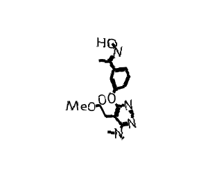 COC(=O)Cc1c(Oc2cccc(/C(C)=N/O)c2)ncnc1N(C)C